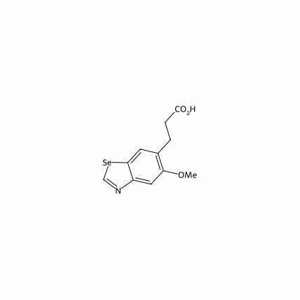 COc1cc2nc[se]c2cc1CCC(=O)O